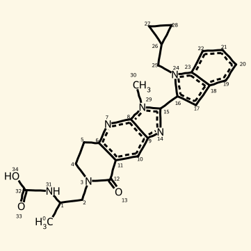 CC(CN1CCc2nc3c(cc2C1=O)nc(-c1cc2ccccc2n1CC1CC1)n3C)NC(=O)O